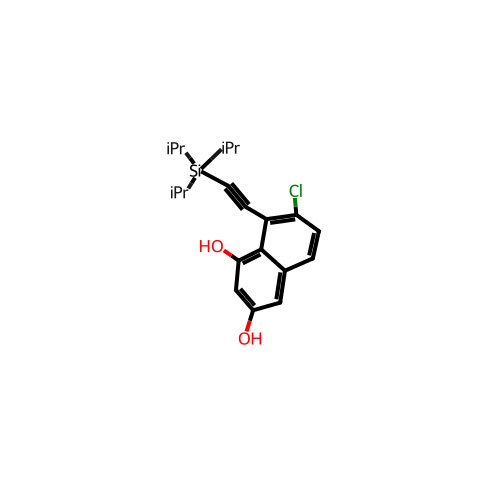 CC(C)[Si](C#Cc1c(Cl)ccc2cc(O)cc(O)c12)(C(C)C)C(C)C